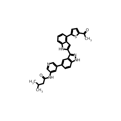 CC(=O)c1ccc(-c2cccc3[nH]c(-c4n[nH]c5ccc(-c6cncc(NC(=O)CC(C)C)c6)cc45)cc23)s1